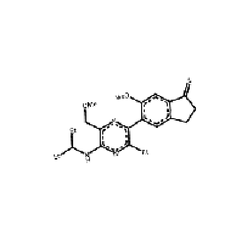 CCc1nc(NC(CC)CC)c(COC)nc1-c1cc2c(cc1OC)C(=S)CC2